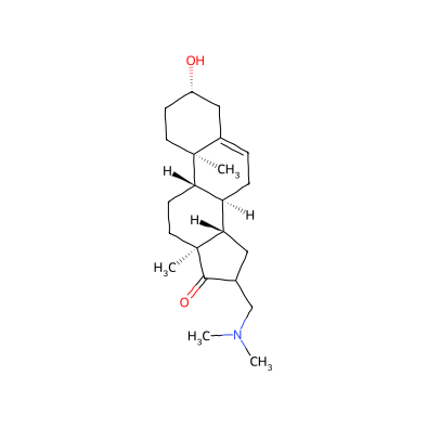 CN(C)CC1C[C@H]2[C@@H]3CC=C4C[C@@H](O)CC[C@]4(C)[C@H]3CC[C@]2(C)C1=O